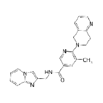 Cc1cc(C(=O)NCc2cn3ccccc3n2)cnc1N1CCc2ncccc2C1